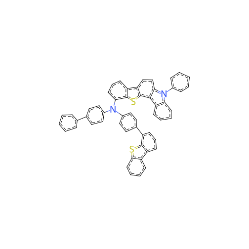 c1ccc(-c2ccc(N(c3ccc(-c4cccc5c4sc4ccccc45)cc3)c3cccc4c3sc3c4ccc4c3c3ccccc3n4-c3ccccc3)cc2)cc1